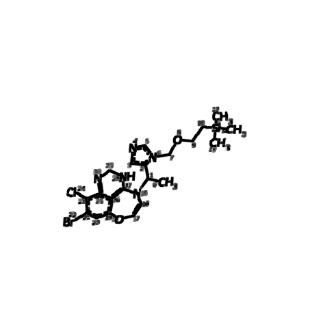 CC(c1cncn1COCC[Si](C)(C)C)N1C=COc2cc(Br)c(Cl)c3c2=C1NCN=3